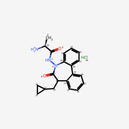 C[C@H](N)C(=O)NN1C(=O)C(CC2CC2)c2ccccc2-c2ccccc21.Cl